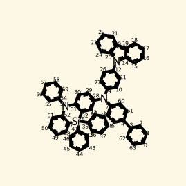 c1ccc(-c2ccc(N(c3ccc(-n4c5ccccc5c5ccccc54)cc3)c3ccc4c(c3)[Si](c3ccccc3)(c3ccccc3)c3ccccc3N4c3ccccc3)cc2)cc1